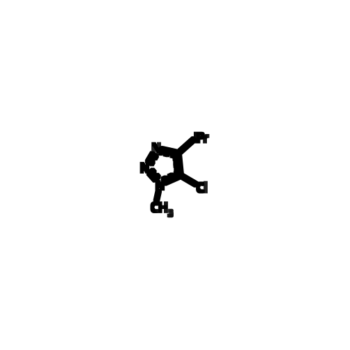 CC(C)c1nnn(C)c1Cl